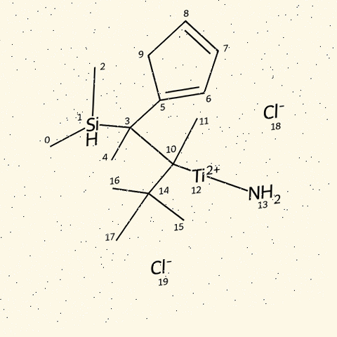 C[SiH](C)C(C)(C1=CC=CC1)[C](C)([Ti+2][NH2])C(C)(C)C.[Cl-].[Cl-]